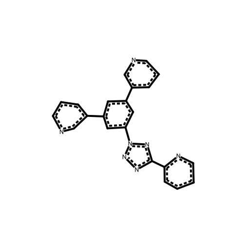 c1ccc(-c2nnn(-c3cc(-c4cccnc4)cc(-c4cccnc4)c3)n2)nc1